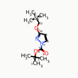 CC(C)(C)OC(=O)n1ccc(OC[Si](C)(C)C)n1